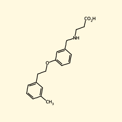 Cc1cccc(CCOc2cccc(CNCCC(=O)O)c2)c1